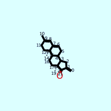 C=C1CC2C3CC=C4C=C(C)CC[C@]4(C)C3CC[C@]2(C)C1=O